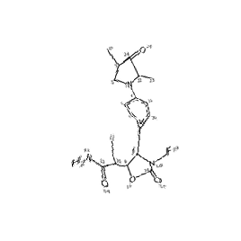 CC1CN(c2ccc(C3C(C(C)C(N)=O)OC(=O)N3F)cc2)C(C)C1=O